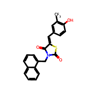 O=C1SC(=Cc2ccc(O)c(C(F)(F)F)c2)C(=O)N1Cc1cccc2ccccc12